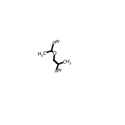 [CH2]CCC(C)OCC(C)CCC